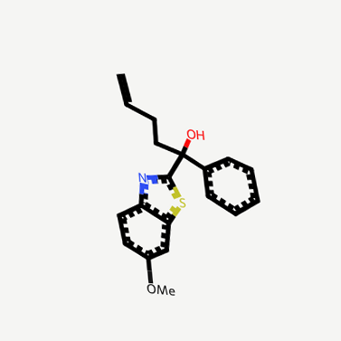 C=CCCC(O)(c1ccccc1)c1nc2ccc(OC)cc2s1